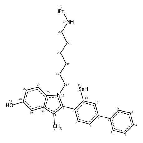 Cc1c(-c2ccc(-c3ccccc3)cc2[SeH])n(CCCCCCNC(C)C)c2ccc(O)cc12